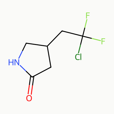 O=C1CC(CC(F)(F)Cl)CN1